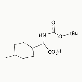 CC1CCC(C(NC(=O)OC(C)(C)C)C(=O)O)CC1